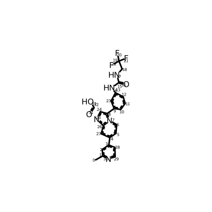 Cc1cc(-c2ccn3c(-c4cccc(NC(=O)NCC(F)(F)F)c4)cnc3c2)ccn1.O=CO